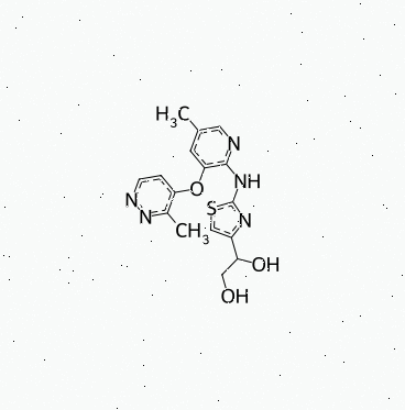 Cc1cnc(Nc2nc(C(O)CO)cs2)c(Oc2ccnnc2C)c1